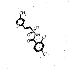 Cc1csc(C=CS(=O)(=O)NC(=O)c2ccc(Cl)cc2Cl)c1